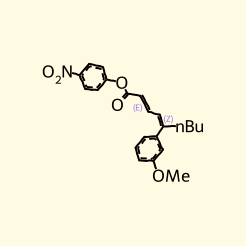 CCCC/C(=C/C=C/C(=O)Oc1ccc([N+](=O)[O-])cc1)c1cccc(OC)c1